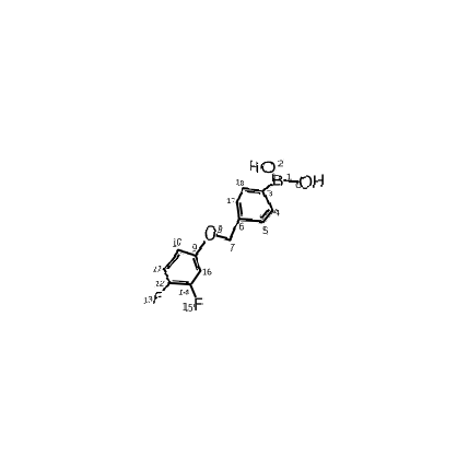 OB(O)c1ccc(COc2ccc(F)c(F)c2)cc1